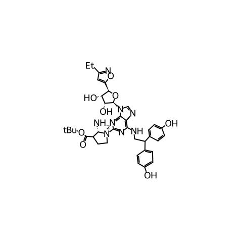 CCc1cc([C@H]2O[C@@H](n3cnc4c(NCC(c5ccc(O)cc5)c5ccc(O)cc5)nc(N5CCC(C(=O)OC(C)(C)C)[C@@H]5N)nc43)[C@H](O)[C@@H]2O)on1